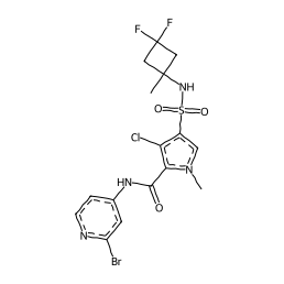 Cn1cc(S(=O)(=O)NC2(C)CC(F)(F)C2)c(Cl)c1C(=O)Nc1ccnc(Br)c1